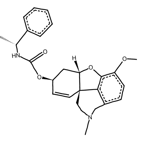 COc1ccc2c3c1O[C@H]1C[C@H](OC(=O)N[C@H](C)c4ccccc4)C=C[C@@]31CCN(C)C2